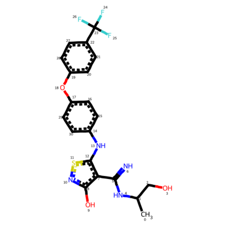 CC(CO)NC(=N)c1c(O)nsc1Nc1ccc(Oc2ccc(C(F)(F)F)cc2)cc1